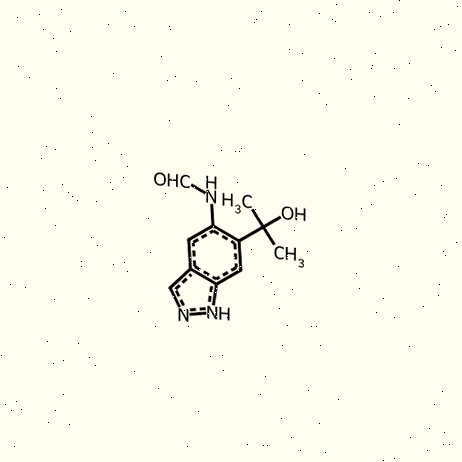 CC(C)(O)c1cc2[nH]ncc2cc1NC=O